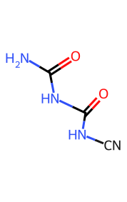 N#CNC(=O)NC(N)=O